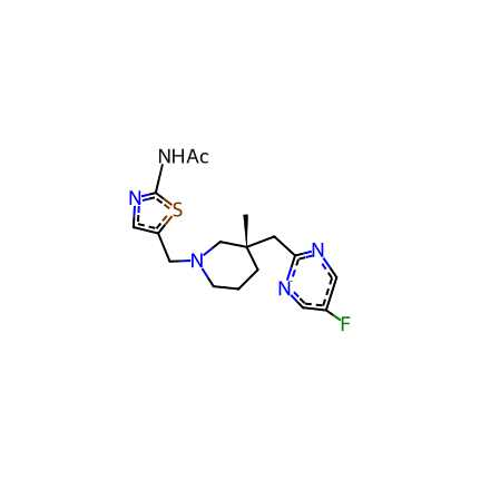 CC(=O)Nc1ncc(CN2CCC[C@@](C)(Cc3ncc(F)cn3)C2)s1